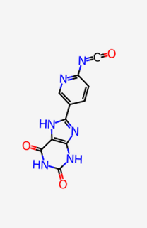 O=C=Nc1ccc(-c2nc3[nH]c(=O)[nH]c(=O)c3[nH]2)cn1